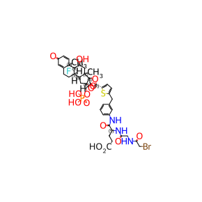 C[C@]12C=CC(=O)C=C1CC[C@H]1[C@@H]3C[C@H]4O[C@@H](c5ccc(Cc6cccc(NC(=O)[C@H](CCC(=O)O)NC(=O)CNC(=O)CBr)c6)s5)O[C@@]4(C(=O)COP(=O)(O)O)[C@@]3(C)C[C@H](O)[C@@]12F